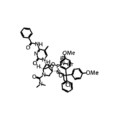 COc1ccc(C(OC[C@@]23CN(C(=O)N(C)C)[C@@H]([C@H](n4cc(C)c(NC(=O)c5ccccc5)nc4=O)O2)[C@@H]3OP(OCCC#N)N(C(C)C)C(C)C)(c2ccccc2)c2ccc(OC)cc2)cc1